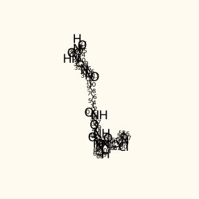 O=C(CCCCCCCCCCC(=O)N1CCN(c2ccc(NC3CCC(=O)NC3=O)cc2)CC1)NCCOCCNC(=O)c1cc(NC(=O)c2cc(-c3ccccn3)c(Cl)cc2Cl)n(-c2ccccc2)n1